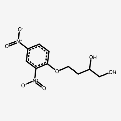 O=[N+]([O-])c1ccc(OCCC(O)CO)c([N+](=O)[O-])c1